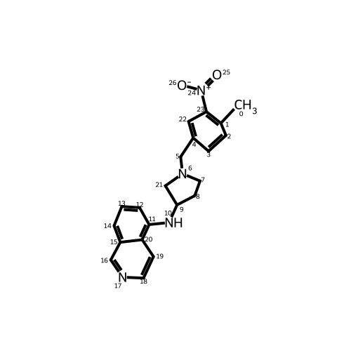 Cc1ccc(CN2CCC(Nc3cccc4cnccc34)C2)cc1[N+](=O)[O-]